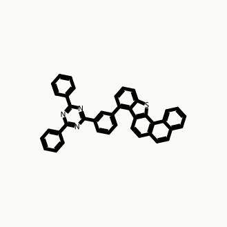 c1ccc(-c2nc(-c3ccccc3)nc(-c3cccc(-c4cccc5sc6c(ccc7ccc8ccccc8c76)c45)c3)n2)cc1